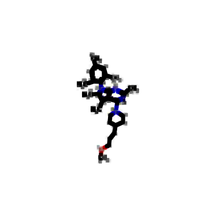 COCCCC1CCN(c2nc(C)nc3c2c(C)c(C)n3-c2c(C)cc(C)cc2C)CC1